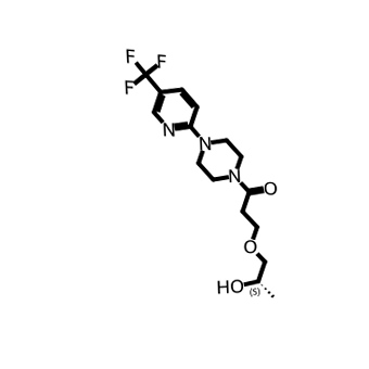 C[C@H](O)COCCC(=O)N1CCN(c2ccc(C(F)(F)F)cn2)CC1